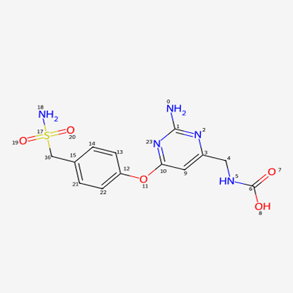 Nc1nc(CNC(=O)O)cc(Oc2ccc(CS(N)(=O)=O)cc2)n1